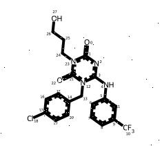 O=c1nc(Nc2cccc(C(F)(F)F)c2)n(Cc2ccc(Cl)cc2)c(=O)n1CCCO